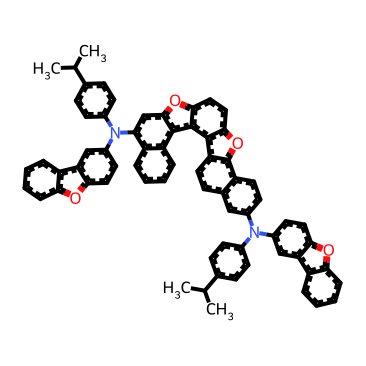 CC(C)c1ccc(N(c2ccc3c(ccc4c3oc3ccc5oc6cc(N(c7ccc(C(C)C)cc7)c7ccc8oc9ccccc9c8c7)c7ccccc7c6c5c34)c2)c2ccc3oc4ccccc4c3c2)cc1